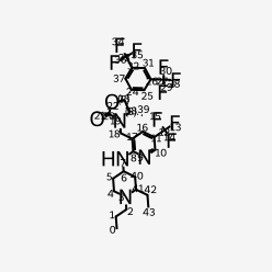 CCCN1CCC(Nc2ncc(C(F)(F)F)cc2CN2C(=O)O[C@H](c3cc(C(F)(F)F)cc(C(F)(F)F)c3)[C@@H]2C)CC1CC